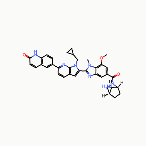 COc1cc(C(=O)N2C[C@H]3CC[C@@H]2[C@@H]3N)cc2nc(-c3cc4ccc(-c5ccc6[nH]c(=O)ccc6c5)nc4n3CC3CC3)n(C)c12